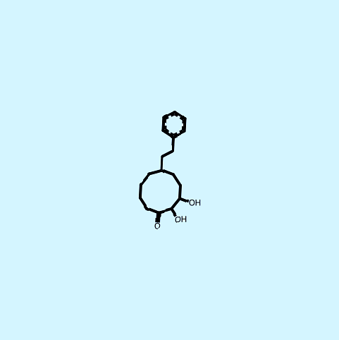 O=C1CCCCC(CCc2ccccc2)CCC(O)C1O